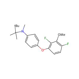 COc1c(F)ccc(Oc2ccc(N(C)C(C)(C)C(C)(C)C)cc2)c1F